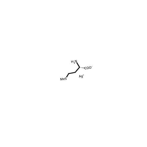 CSCC[C@H](N)C(=O)[O-].[Ag+]